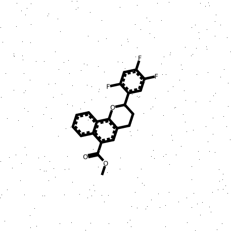 COC(=O)c1cc2c(c3ccccc13)OC(c1cc(F)c(F)cc1F)CC2